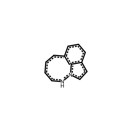 c1ccc2cccc3ccn([nH]c1)c23